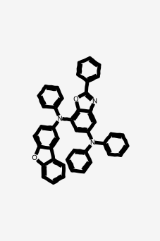 c1ccc(-c2nc3cc(N(c4ccccc4)c4ccccc4)cc(N(c4ccccc4)c4ccc5oc6ccccc6c5c4)c3o2)cc1